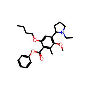 CCCCOc1cc(C2CCCN2CC)c(OC)c(C)c1C(=O)Oc1ccccc1